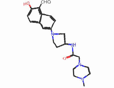 CN1CCN(CC(=O)NC2CCN(c3ccc4c(C=O)c(O)ccc4c3)C2)CC1